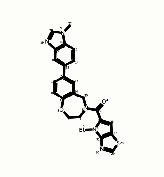 CCn1c(C(=O)N2CCOc3ccc(-c4ccc5c(c4)ncn5C)cc3C2)cc2scnc21